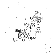 C=CCOC(=O)N1c2cc(OCCCCCOc3cc4c(cc3OC)C(=O)N3C=C(C)C[C@H]3[C@H](O)N4C(=O)OCc3ccc(NCI)cc3)c(OC)cc2C(=O)C2C=C(C)C[C@H]2[C@@H]1O[Si](C)(C)C(C)(C)C